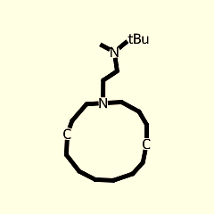 CN(CCN1CCCCCCCCCCCCC1)C(C)(C)C